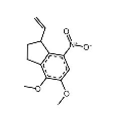 C=CC1CCc2c(OC)c(OC)cc([N+](=O)[O-])c21